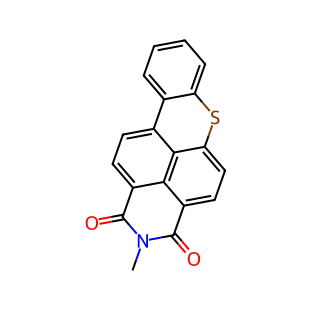 Cn1c(=O)c2ccc3sc4ccccc4c4ccc(c1=O)c2c34